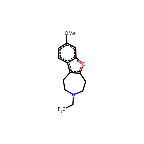 COc1ccc2c3c(oc2c1)CCN(CC(F)(F)F)CC3